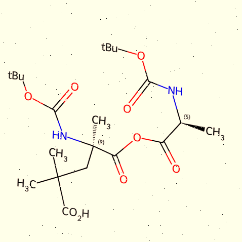 C[C@H](NC(=O)OC(C)(C)C)C(=O)OC(=O)[C@@](C)(CC(C)(C)C(=O)O)NC(=O)OC(C)(C)C